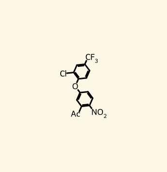 CC(=O)c1cc(Oc2ccc(C(F)(F)F)cc2Cl)ccc1[N+](=O)[O-]